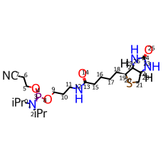 CC(C)N(C(C)C)P(OCCC#N)OCCCNC(=O)CCCC[C@@H]1SC[C@@H]2NC(=O)N[C@@H]21